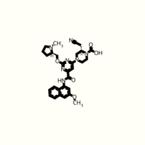 COc1cc(NC(=O)c2cc(N3CCN(C(=O)O)[C@@H](CC#N)C3)nc(OC[C@H]3CCCN3C)n2)c2ccccc2c1